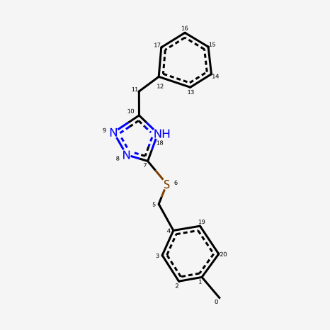 Cc1ccc(CSc2nnc(Cc3ccccc3)[nH]2)cc1